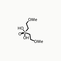 COCCS(=O)(O)(O)CCOC